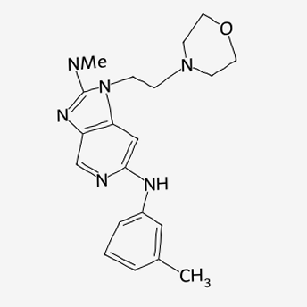 CNc1nc2cnc(Nc3cccc(C)c3)cc2n1CCN1CCOCC1